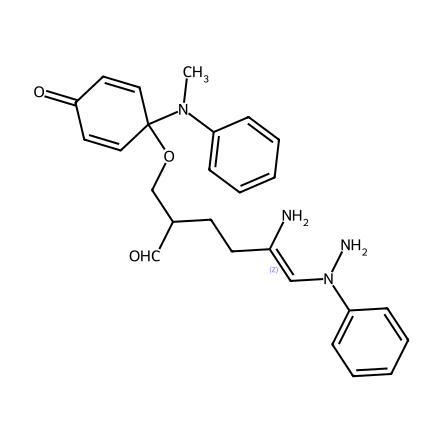 CN(c1ccccc1)C1(OCC(C=O)CC/C(N)=C/N(N)c2ccccc2)C=CC(=O)C=C1